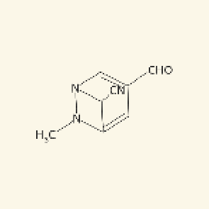 CN1C2=CC(C=O)=CN1C2C#N